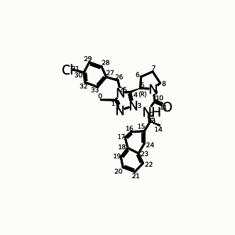 Cc1nnc([C@H]2CCCN2C(=O)N[C@@H](C)c2ccc3ccccc3c2)n1Cc1ccc(Cl)cc1